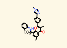 Cc1cc([C@@H](C)Nc2ccccc2C(=O)O)c2oc(-c3ccc(-c4cn(C)cn4)cc3)c(C)c(=O)c2c1